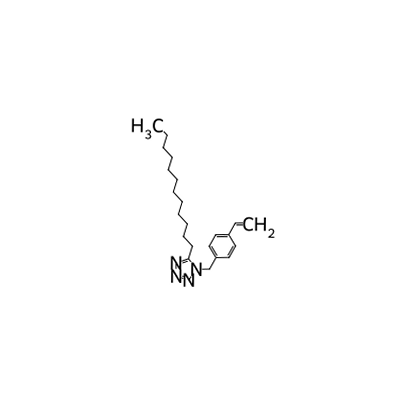 C=Cc1ccc(Cn2nnnc2CCCCCCCCCCCC)cc1